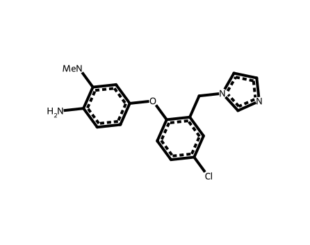 CNc1cc(Oc2ccc(Cl)cc2Cn2ccnc2)ccc1N